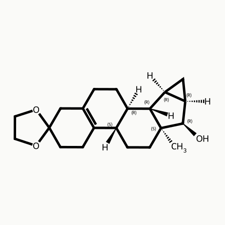 C[C@]12CC[C@@H]3C4=C(CC[C@H]3[C@@H]1[C@H]1C[C@H]1[C@H]2O)CC1(CC4)OCCO1